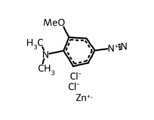 COc1cc([N+]#N)ccc1N(C)C.[Cl-].[Cl-].[Zn+]